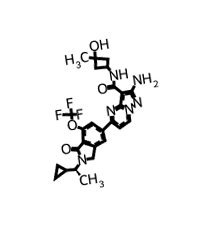 C[C@@H](C1CC1)N1Cc2cc(-c3ccn4nc(N)c(C(=O)NC5CC(C)(O)C5)c4n3)cc(OC(F)(F)F)c2C1=O